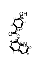 O=C(Oc1cccc2cccnc12)c1ccc(O)cc1